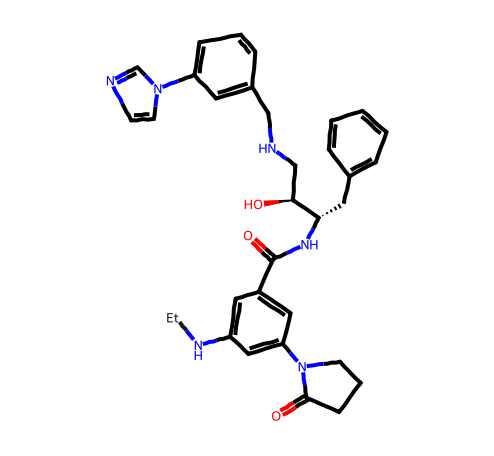 CCNc1cc(C(=O)N[C@@H](Cc2ccccc2)[C@@H](O)CNCc2cccc(-n3ccnc3)c2)cc(N2CCCC2=O)c1